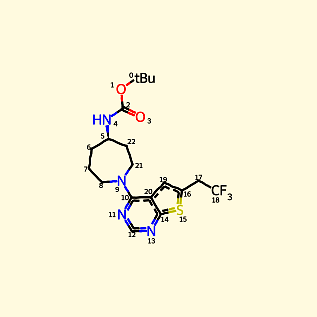 CC(C)(C)OC(=O)N[C@@H]1CCCN(c2ncnc3sc(CC(F)(F)F)cc23)CC1